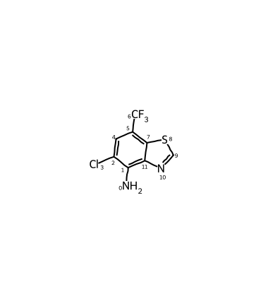 Nc1c(Cl)cc(C(F)(F)F)c2scnc12